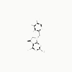 Cc1cnc(CN2CC(=O)c3c(Br)nc(N)nc32)c(C)c1C